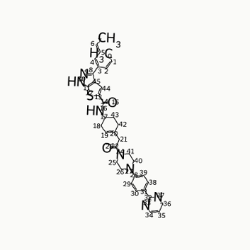 C\C=C/C(=C\C=C\C)c1n[nH]c2sc(C(=O)NC3CC=C(CC(=O)N4CCN(c5ccc(-c6ncccn6)cc5)CC4)CC3)cc12